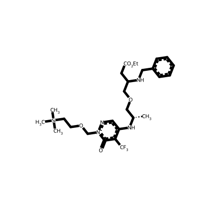 CCOC(=O)CC(COC[C@H](C)Nc1cnn(COCC[Si](C)(C)C)c(=O)c1C(F)(F)F)NCc1ccccc1